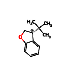 CC(C)(C)[C@H]1COc2ccccc21